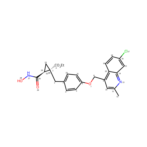 CCOC(=O)[C@@]1(Cc2ccc(OCc3cc(C)nc4cc(Cl)ccc34)cc2)C[C@@H]1C(=O)NO